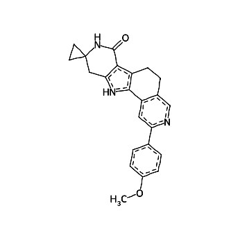 COc1ccc(-c2cc3c(cn2)CCc2c-3[nH]c3c2C(=O)NC2(CC2)C3)cc1